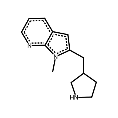 Cn1c(CC2CCNC2)cc2cccnc21